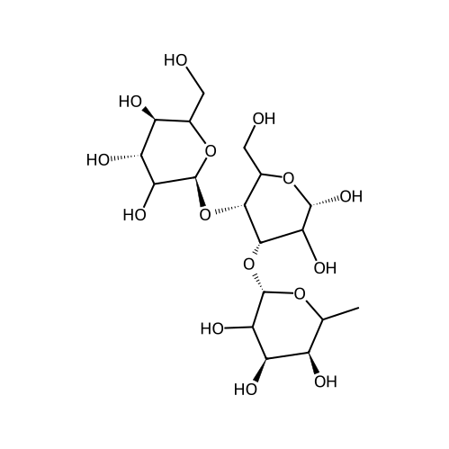 CC1O[C@@H](O[C@H]2C(O)[C@@H](O)OC(CO)[C@H]2O[C@@H]2OC(CO)[C@H](O)[C@@H](O)C2O)C(O)[C@H](O)[C@@H]1O